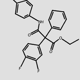 CCOC(=O)C(C(=O)Nc1ccc(Cl)cc1)(c1ccccc1)c1ccc(F)c(F)c1